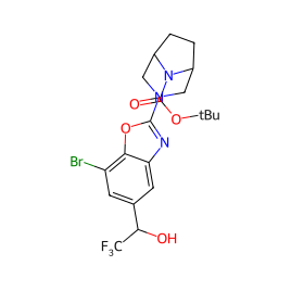 CC(C)(C)OC(=O)N1C2CCC1CN(c1nc3cc(C(O)C(F)(F)F)cc(Br)c3o1)C2